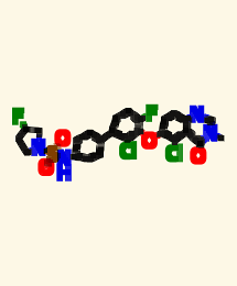 Cn1cnc2ccc(Oc3c(F)ccc(-c4ccc(NS(=O)(=O)N5CC[C@@H](F)C5)cc4)c3Cl)c(Cl)c2c1=O